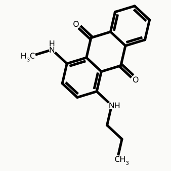 CCCNc1ccc(NC)c2c1C(=O)c1ccccc1C2=O